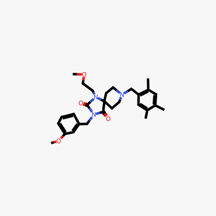 COCCN1C(=O)N(Cc2cccc(OC)c2)C(=O)C12CCN(Cc1cc(C)c(C)cc1C)CC2